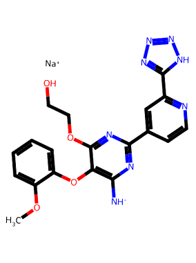 COc1ccccc1Oc1c([NH-])nc(-c2ccnc(-c3nnn[nH]3)c2)nc1OCCO.[Na+]